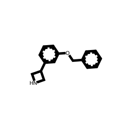 c1ccc(COc2cccc(C3CNC3)c2)cc1